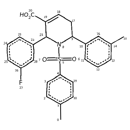 Cc1ccc(S(=O)(=O)N2C(c3cccc(C)c3)CC=C(C(=O)O)C2c2cccc(F)c2)cc1